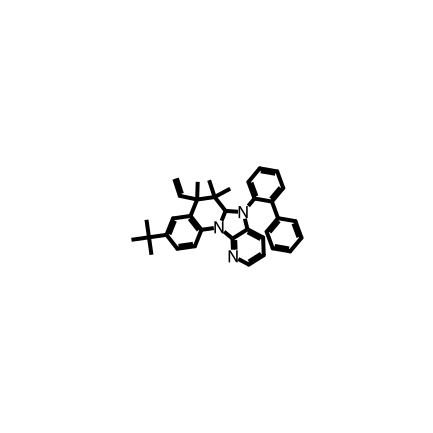 C=CC1(C)c2cc(C(C)(C)C)ccc2N2c3ncccc3N(c3ccccc3-c3ccccc3)C2C1(C)C